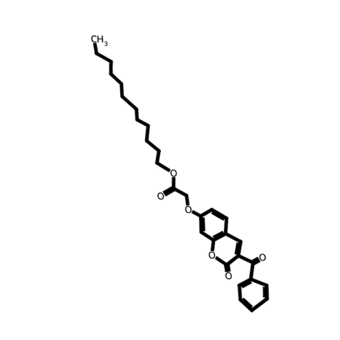 CCCCCCCCCCCCOC(=O)COc1ccc2cc(C(=O)c3ccccc3)c(=O)oc2c1